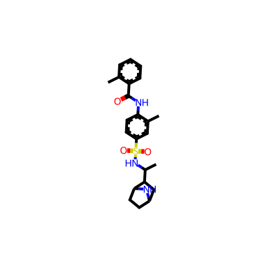 Cc1cc(S(=O)(=O)NC(C)C2CC3CCC2N3)ccc1NC(=O)c1ccccc1C